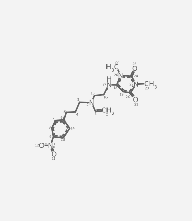 C=CN(CCCc1ccc([N+](=O)[O-])cc1)CCNc1cc(=O)n(C)c(=O)n1C